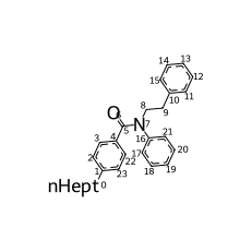 CCCCCCCc1ccc(C(=O)N(CCc2ccccc2)c2ccccc2)cc1